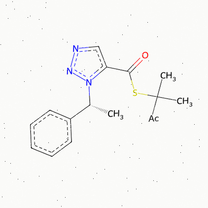 CC(=O)C(C)(C)SC(=O)c1cnnn1[C@H](C)c1ccccc1